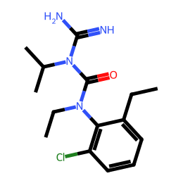 CCc1cccc(Cl)c1N(CC)C(=O)N(C(=N)N)C(C)C